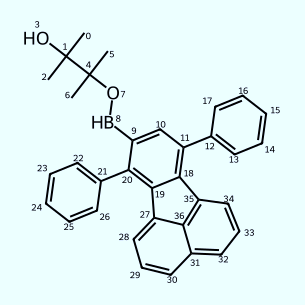 CC(C)(O)C(C)(C)OBc1cc(-c2ccccc2)c2c(c1-c1ccccc1)-c1cccc3cccc-2c13